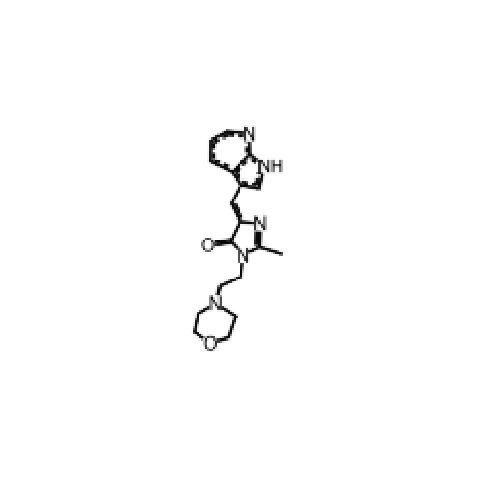 CC1=N/C(=C\c2c[nH]c3ncccc23)C(=O)N1CCN1CCOCC1